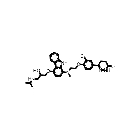 CC(C)NCC(O)COc1ccc(N(C)CCOc2ccc(C3=NNC(=O)CC3)cc2Cl)c2[nH]c3ccccc3c12